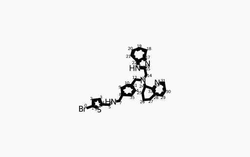 Brc1ccc(CNCc2ccc(CN(Cc3nc4ccccc4[nH]3)C3CCCc4cccnc43)cc2)s1